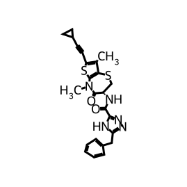 Cc1c(C#CC2CC2)sc2c1SC[C@H](NC(=O)c1nnc(Cc3ccccc3)[nH]1)C(=O)N2C